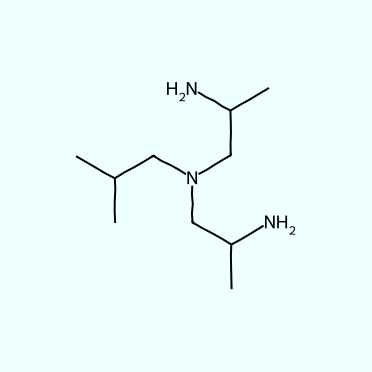 CC(C)CN(CC(C)N)CC(C)N